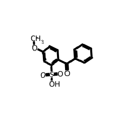 COc1ccc(C(=O)c2ccccc2)c(S(=O)(=O)O)c1